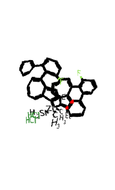 CCc1cc2c(-c3c(F)cccc3-c3ccccc3)ccccc-2[c]1[Zr]([CH3])([CH3])(=[SiH2])[c]1c(CC)cc2c(-c3c(F)cccc3-c3ccccc3)ccccc1-2.Cl.Cl